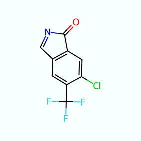 O=C1N=Cc2cc(C(F)(F)F)c(Cl)cc21